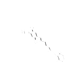 CC1=C(CC/C(C)=C/C=C/C(C)=C/C2=CC(=O)C(O)=CC2=O)C(C)(C)CCC1